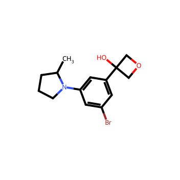 CC1CCCN1c1cc(Br)cc(C2(O)COC2)c1